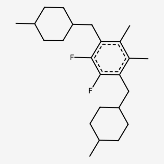 Cc1c(C)c(CC2CCC(C)CC2)c(F)c(F)c1CC1CCC(C)CC1